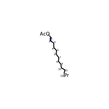 CC(=O)O/C=C/CCCCCCCCCC(C)C